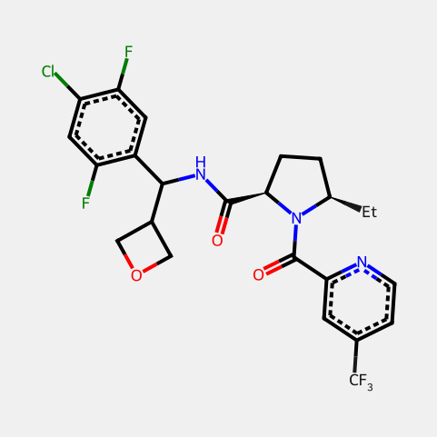 CC[C@@H]1CC[C@H](C(=O)NC(c2cc(F)c(Cl)cc2F)C2COC2)N1C(=O)c1cc(C(F)(F)F)ccn1